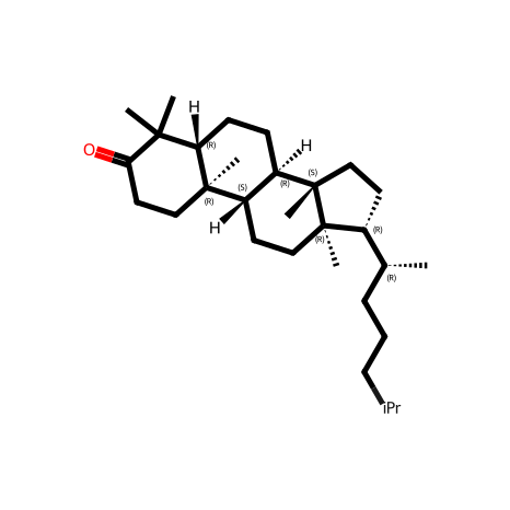 CC(C)CCC[C@@H](C)[C@H]1CC[C@@]2(C)[C@@H]3CC[C@H]4C(C)(C)C(=O)CC[C@]4(C)[C@H]3CC[C@]12C